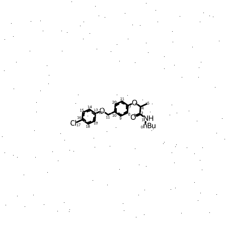 CCCCNC(=O)C(C)Oc1ccc(COc2ccc(Cl)cc2)cc1